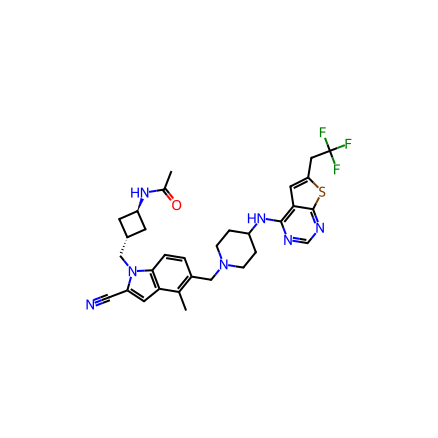 CC(=O)N[C@H]1C[C@H](Cn2c(C#N)cc3c(C)c(CN4CCC(Nc5ncnc6sc(CC(F)(F)F)cc56)CC4)ccc32)C1